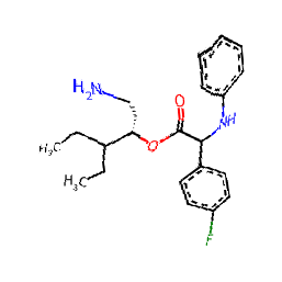 CCC(CC)[C@H](CN)OC(=O)C(Nc1ccccc1)c1ccc(F)cc1